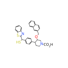 O=C(O)N1CCC(c2ccc(C(S)c3nc4ccccc4s3)cc2)C(OCc2ccc3ccccc3c2)C1